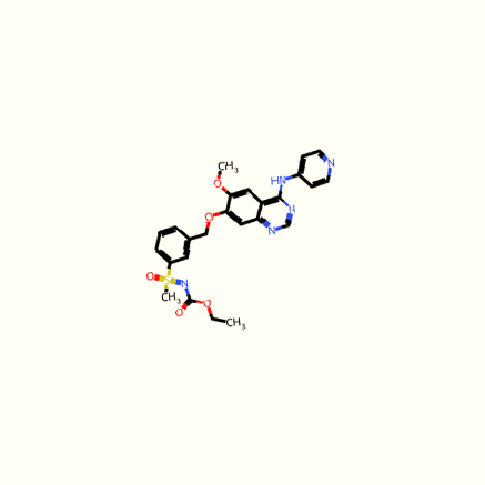 CCOC(=O)N=S(C)(=O)c1cccc(COc2cc3ncnc(Nc4ccncc4)c3cc2OC)c1